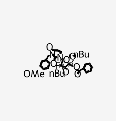 CCCCOC[C@@]1(COC(=O)c2ccccc2)O[C@@H](n2ccc(=O)n(Cc3ccc(OC)cc3)c2=O)[C@H](F)[C@@H]1OCCCC